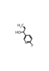 C=CC(O)c1ccc(F)nc1